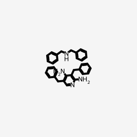 Nc1ncc(Cc2ccccc2)c(N)c1Cc1ccccc1.c1ccc(CNCc2ccccc2)cc1